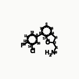 NCC1Cc2cccc(-c3ccc(F)c(Cl)c3)c2O1